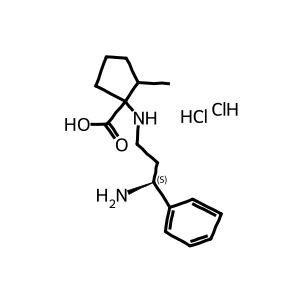 CC1CCCC1(NCC[C@H](N)c1ccccc1)C(=O)O.Cl.Cl